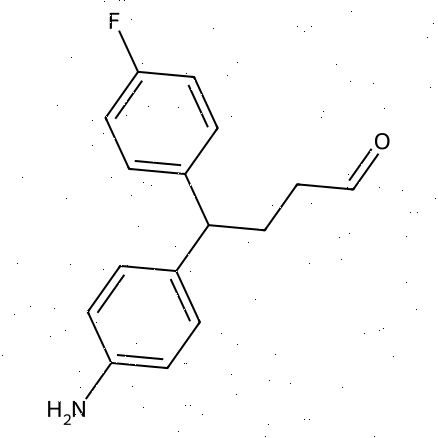 Nc1ccc(C(CCC=O)c2ccc(F)cc2)cc1